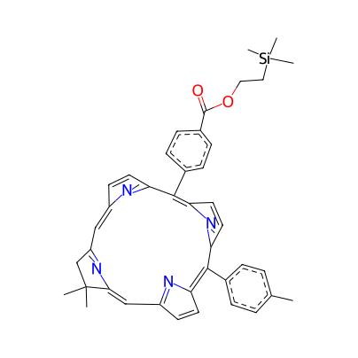 Cc1ccc(C2=C3C=CC(=N3)C=C3N=C(C=C4C=CC(=N4)C(c4ccc(C(=O)OCC[Si](C)(C)C)cc4)=C4C=CC2=N4)CC3(C)C)cc1